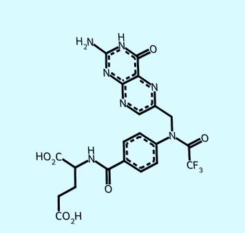 Nc1nc2ncc(CN(C(=O)C(F)(F)F)c3ccc(C(=O)NC(CCC(=O)O)C(=O)O)cc3)nc2c(=O)[nH]1